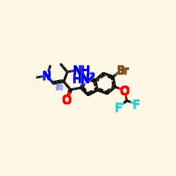 CC(N)/C(=C\N(C)C)C(=O)c1cc2cc(OC(F)F)c(Br)cc2[nH]1